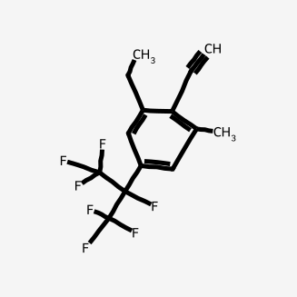 C#Cc1c(C)cc(C(F)(C(F)(F)F)C(F)(F)F)cc1CC